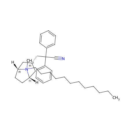 CCCCCCCCCCCC[N+]1(C)[C@@H]2CC[C@H]1C[C@@H](CC(C#N)(c1ccccc1)c1ccccc1)C2